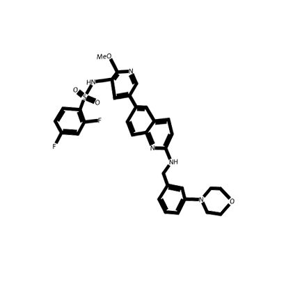 COc1ncc(-c2ccc3nc(NCc4cccc(N5CCOCC5)c4)ccc3c2)cc1NS(=O)(=O)c1ccc(F)cc1F